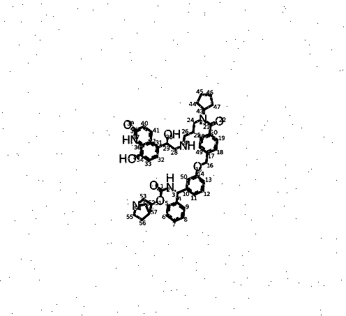 O=C(N[C@@H](c1ccccc1)c1cccc(OCc2ccc(C(=O)N(CCCNC[C@H](O)c3ccc(O)c4[nH]c(=O)ccc34)C3CCCC3)cc2)c1)O[C@H]1CN2CCC1C2